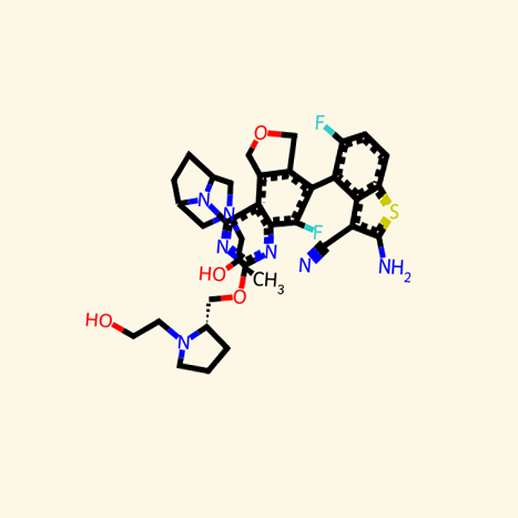 C[C@@H](O)CN1CC2CCC(C1)N2c1nc(OC[C@@H]2CCCN2CCO)nc2c(F)c(-c3c(F)ccc4sc(N)c(C#N)c34)c3c(c12)COC3